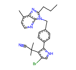 CCCc1nc2c(C)ccnc2n1Cc1ccc(-c2[nH]cc(Br)c2C(C)(C)C#N)cc1